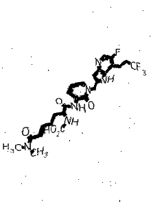 CN(C)C(=O)/C=C/CCC(NC(=O)O)C(=O)Nc1cccn(Cc2cc3ncc(F)c(CCC(F)(F)F)c3[nH]2)c1=O